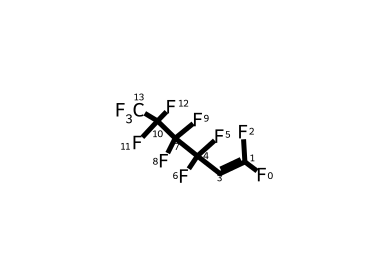 FC(F)=CC(F)(F)C(F)(F)C(F)(F)C(F)(F)F